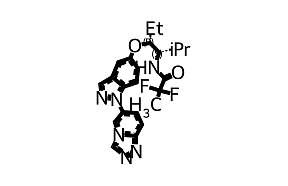 CC[C@@H](Oc1ccc2c(cnn2-c2ccc3nncn3c2)c1)[C@@H](NC(=O)C(C)(F)F)C(C)C